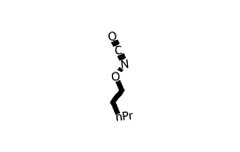 CCCCCON=C=O